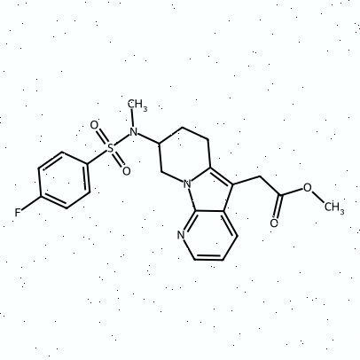 COC(=O)Cc1c2n(c3ncccc13)CC(N(C)S(=O)(=O)c1ccc(F)cc1)CC2